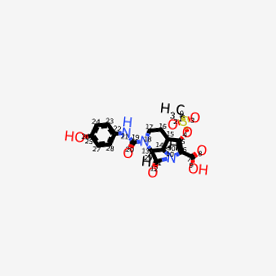 CS(=O)(=O)OC1=C(C(=O)O)N2C(=O)[C@@H]3[C@H]2C1CCN3C(=O)Nc1ccc(O)cc1